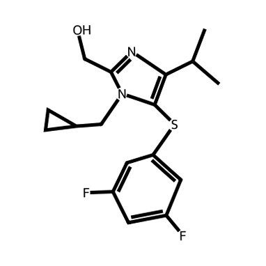 CC(C)c1nc(CO)n(CC2CC2)c1Sc1cc(F)cc(F)c1